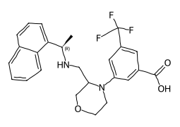 C[C@@H](NCC1COCCN1c1cc(C(=O)O)cc(C(F)(F)F)c1)c1cccc2ccccc12